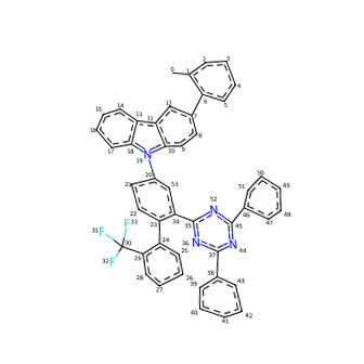 Cc1ccccc1-c1ccc2c(c1)c1ccccc1n2-c1ccc(-c2ccccc2C(F)(F)F)c(-c2nc(-c3ccccc3)nc(-c3ccccc3)n2)c1